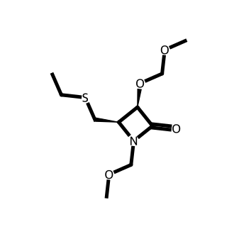 CCSC[C@H]1[C@@H](OCOC)C(=O)N1COC